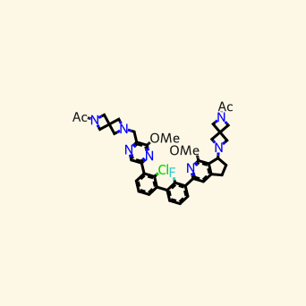 COc1nc(-c2cccc(-c3cccc(-c4cc5c(c(OC)n4)C(N4CC6(CN(C(C)=O)C6)C4)CC5)c3F)c2Cl)cnc1CN1CC2(C1)CN(C(C)=O)C2